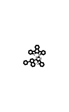 c1ccc(-c2ccc(-c3nc(-n4c5ccccc5c5c6ccccc6c6c7ccccc7sc6c54)nc4c3oc3ccccc34)c3ccccc23)cc1